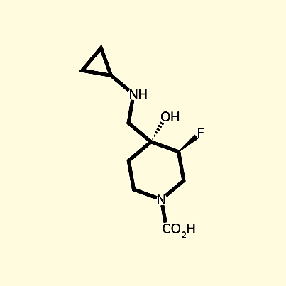 O=C(O)N1CC[C@@](O)(CNC2CC2)[C@@H](F)C1